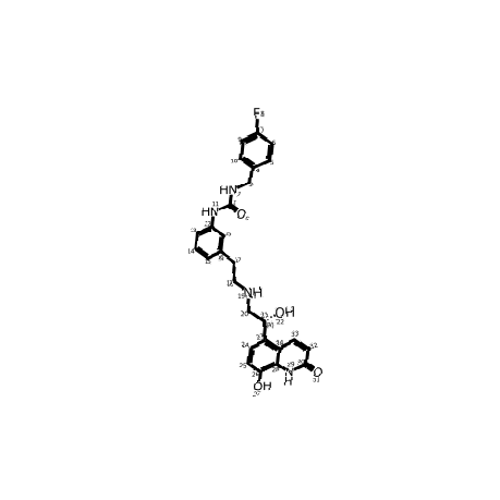 O=C(NCc1ccc(F)cc1)Nc1cccc(CCNC[C@H](O)c2ccc(O)c3[nH]c(=O)ccc23)c1